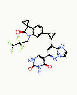 O=C1N(CC(F)(F)C(F)F)c2cc([C@H]3C[C@@H]3c3cc(-c4c[nH]c(=O)[nH]c4=O)nn4ccnc34)ccc2C12CC2